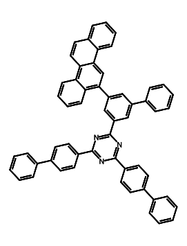 c1ccc(-c2ccc(-c3nc(-c4ccc(-c5ccccc5)cc4)nc(-c4cc(-c5ccccc5)cc(-c5cc6c7ccccc7ccc6c6ccccc56)c4)n3)cc2)cc1